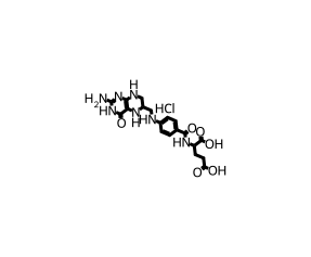 Cl.Nc1nc2c(c(=O)[nH]1)NC(CNc1ccc(C(=O)NC(CCC(=O)O)C(=O)O)cc1)CN2